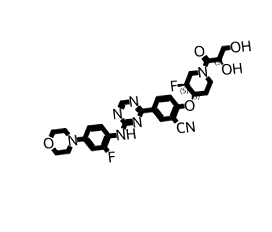 N#Cc1cc(-c2ncnc(Nc3ccc(N4CCOCC4)cc3F)n2)ccc1O[C@H]1CCN(C(=O)[C@@H](O)CO)C[C@@H]1F